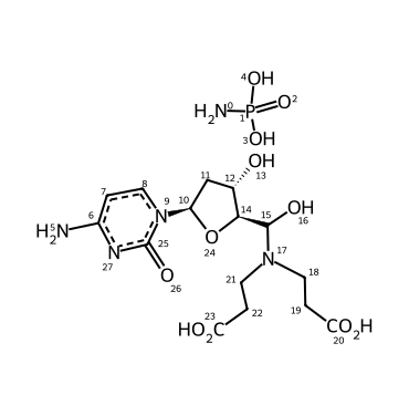 NP(=O)(O)O.Nc1ccn([C@H]2C[C@H](O)[C@@H](C(O)N(CCC(=O)O)CCC(=O)O)O2)c(=O)n1